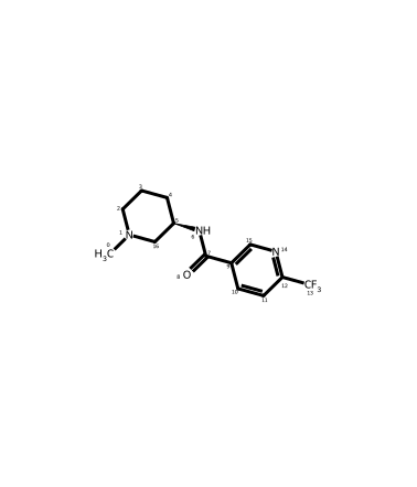 CN1CCC[C@@H](NC(=O)c2ccc(C(F)(F)F)nc2)C1